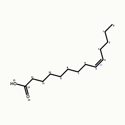 CCCC/C=C\CCCCCCCC(=O)O